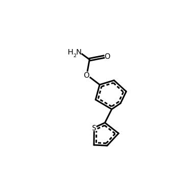 NC(=O)Oc1cccc(-c2cccs2)c1